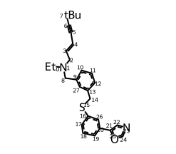 CCN(C/C=C/C#CC(C)(C)C)Cc1cccc(CSc2cccc(-c3cnco3)c2)c1